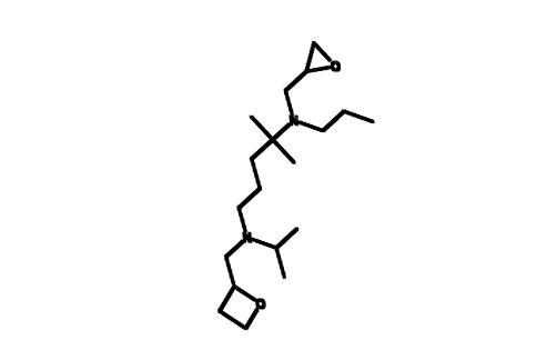 CCCN(CC1CO1)C(C)(C)CCCN(CC1CCO1)C(C)C